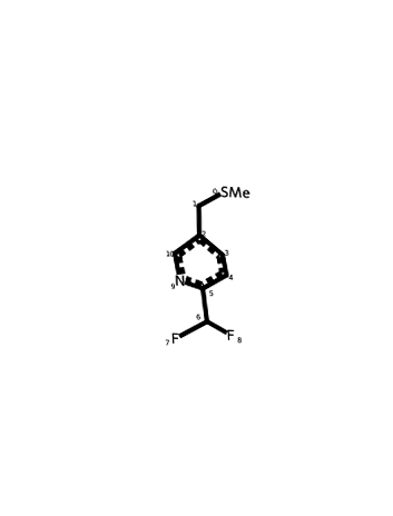 CSCc1ccc(C(F)F)nc1